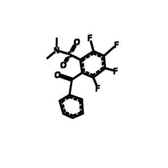 CN(C)S(=O)(=O)c1c(F)c(F)c(F)c(F)c1C(=O)c1ccccc1